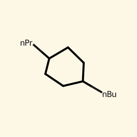 [CH2]CCC1CCC(CCCC)CC1